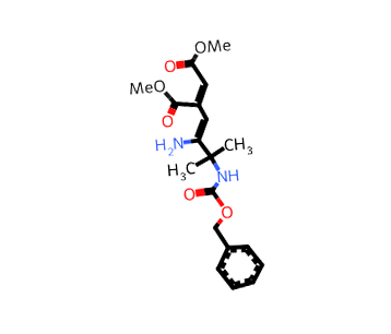 COC(=O)C=C(/C=C(\N)C(C)(C)NC(=O)OCc1ccccc1)C(=O)OC